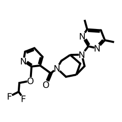 Cc1cc(C)nc(N2CC3CC2CN(C(=O)c2cccnc2OCC(F)F)C3)n1